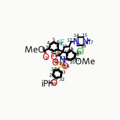 COC(=O)c1ccc(F)c(C2(CCCN3CCN(C)CC3)C(=O)N(S(=O)(=O)c3ccc(OC(C)C)cc3)c3cc(OC)c(Cl)cc32)c1